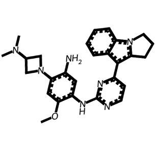 COc1cc(N2CC(N(C)C)C2)c(N)cc1Nc1nccc(-c2c3n(c4ccccc24)CCC3)n1